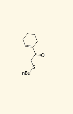 CCCCSCC(=O)C1=CCCCC1